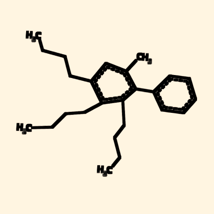 CCCCc1cc(C)c(-c2ccccc2)c(CCCC)c1CCCC